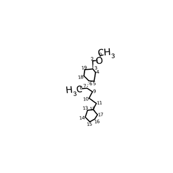 COC[C@H]1CC[C@H](C(C)CCCC2CCCCC2)CC1